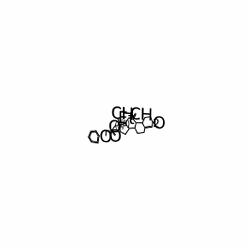 C#C[C@]1(OC(=O)COc2ccccc2)CCC2C3CCC4=CC(=O)CCC4C3C(=C)C[C@@]21CC